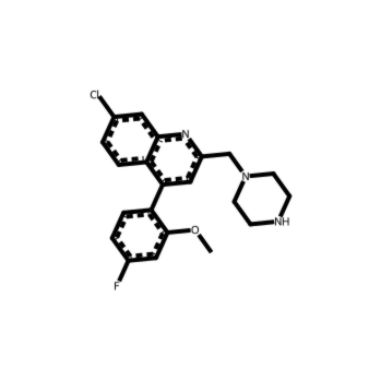 COc1cc(F)ccc1-c1cc(CN2CCNCC2)nc2cc(Cl)ccc12